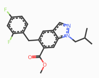 COC(=O)c1cc2c(cnn2CC(C)C)cc1Cc1ccc(F)cc1F